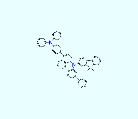 CC1(C)c2ccccc2-c2ccc(N(c3cccc(-c4ccccc4)c3)C3CC=C(C4C=Cc5c(c6ccccc6n5-c5ccccc5)C4)c4ccccc43)cc21